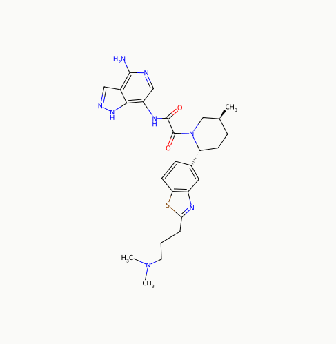 C[C@H]1CC[C@H](c2ccc3sc(CCCN(C)C)nc3c2)N(C(=O)C(=O)Nc2cnc(N)c3cn[nH]c23)C1